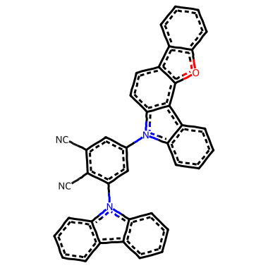 N#Cc1cc(-n2c3ccccc3c3c4oc5ccccc5c4ccc32)cc(-n2c3ccccc3c3ccccc32)c1C#N